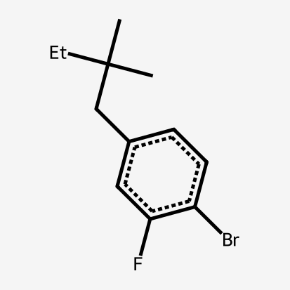 CCC(C)(C)Cc1ccc(Br)c(F)c1